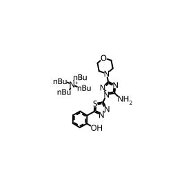 CCCC[N+](CCCC)(CCCC)CCCC.Nc1nc(N2CCOCC2)nn1-c1nnc(-c2ccccc2O)s1